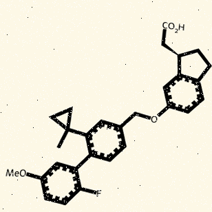 COc1ccc(F)c(-c2ccc(COc3ccc4c(c3)[C@@H](CC(=O)O)CC4)cc2C2(C)CC2)c1